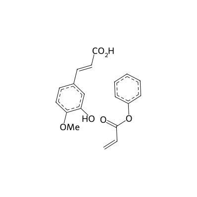 C=CC(=O)Oc1ccccc1.COc1ccc(C=CC(=O)O)cc1O